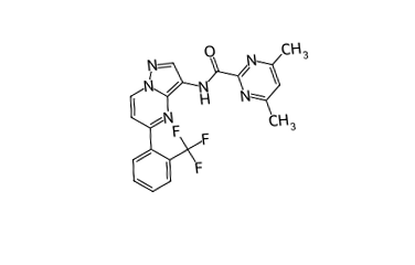 Cc1cc(C)nc(C(=O)Nc2cnn3ccc(-c4ccccc4C(F)(F)F)nc23)n1